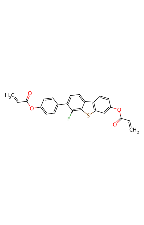 C=CC(=O)Oc1ccc(-c2ccc3c(sc4cc(OC(=O)C=C)ccc43)c2F)cc1